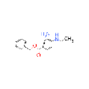 CCNc1ccc(C(=O)OCc2ccccc2)cc1N